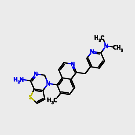 Cc1ccc2c(Cc3ccc(N(C)C)nc3)nccc2c1N1CN=C(N)c2sccc21